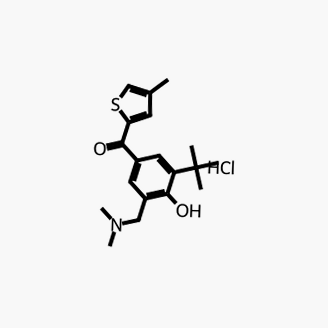 Cc1csc(C(=O)c2cc(CN(C)C)c(O)c(C(C)(C)C)c2)c1.Cl